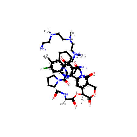 CC[C@@]1(OC(=O)[C@@H](NC(=O)[C@@H]2CCCN2C(=O)[C@H](CC(N)=O)NC(=O)CN(C)CCN(C)CCN(C)CCN)C(C)C)C(=O)OCc2c1cc1n(c2=O)Cc2c-1nc1cc(F)c(C)c3c1c2[C@@H](N)CC3